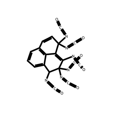 O=C=NC1=C2c3c(cccc3C(N=C=O)C1(N=C=O)N=C=O)C=CC2(N=C=O)N=C=O